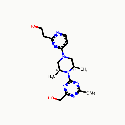 COc1nc(CO)nc(N2[C@H](C)CN(c3ccnc(CCO)n3)C[C@@H]2C)n1